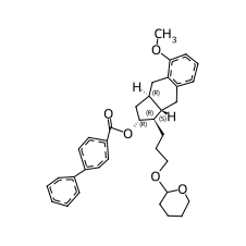 COc1cccc2c1C[C@@H]1C[C@@H](OC(=O)c3ccc(-c4ccccc4)cc3)[C@H](CCCOC3CCCCO3)[C@H]1C2